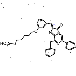 O=C1/C(=C/c2cccc(OCCCCCCS(=O)(=O)O)c2)N=C2C(Cc3ccccc3)=NC(c3ccccc3)=CN12